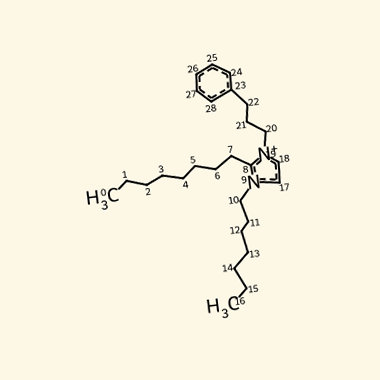 CCCCCCCCc1n(CCCCCCC)cc[n+]1CCCc1ccccc1